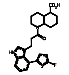 O=C(O)C1CCCC2C1CCCN2C(=O)CCc1c[nH]c2cccc(-c3ccc(F)s3)c12